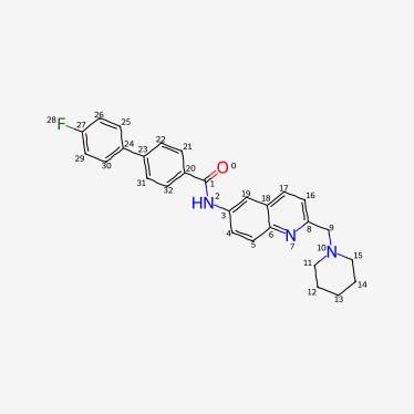 O=C(Nc1ccc2nc(CN3CCCCC3)ccc2c1)c1ccc(-c2ccc(F)cc2)cc1